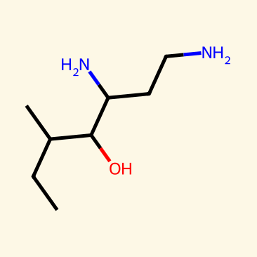 CCC(C)C(O)C(N)CCN